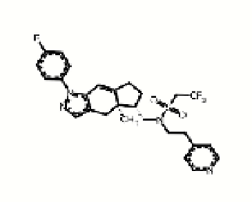 C[C@]12Cc3cnn(-c4ccc(F)cc4)c3C=C1CC[C@@H]2CN(CCc1ccncc1)S(=O)(=O)CC(F)(F)F